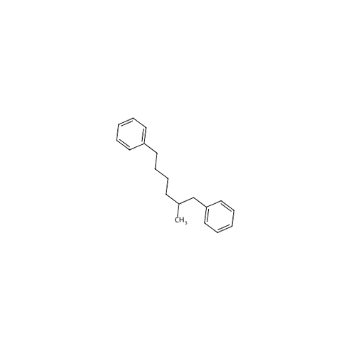 C[C](CCCCc1ccccc1)Cc1ccccc1